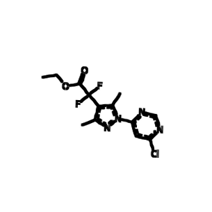 CCOC(=O)C(F)(F)c1c(C)nn(-c2cc(Cl)ncn2)c1C